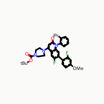 COc1ccc(-c2cc3c(cc2F)c(N2CCN(C(=O)OC(C)(C)C)CC2)cc(=O)n3-c2ccccc2C(C)C)c(F)c1